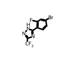 Fc1cc(Br)ccc1-c1nc(C(F)(F)F)n[nH]1